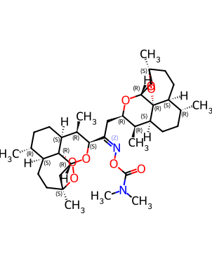 C[C@H]1[C@@H](/C(C[C@H]2O[C@@H]3C[C@]4(C)CC[C@H]5[C@H](C)CC[C@@H]([C@H]2C)[C@@]35OO4)=N\OC(=O)N(C)C)O[C@@H]2C[C@]3(C)CC[C@H]4[C@H](C)CC[C@@H]1[C@@]24OO3